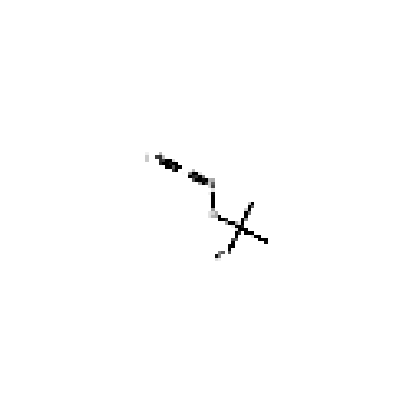 CCCC(C)(C)NN=C=N